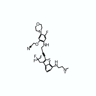 CN(C)CCNc1cccc2c(CC(F)(F)F)c(C#CCNc3cc(F)c(N4CCOCC4)cc3OCC#N)sc12